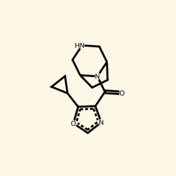 O=C(c1ncoc1C1CC1)N1C2CCC1CNC2